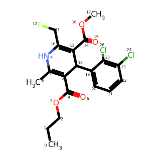 CCCOC(=O)C1=C(C)NC(CF)=C(C(=O)OC)C1c1cccc(Cl)c1Cl